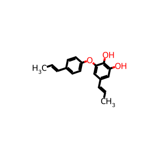 C/C=C/c1ccc(Oc2cc(/C=C/C)cc(O)c2O)cc1